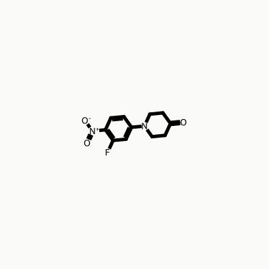 O=C1CCN(c2ccc([N+](=O)[O-])c(F)c2)CC1